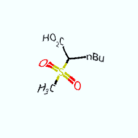 CCCCC(C(=O)O)S(C)(=O)=O